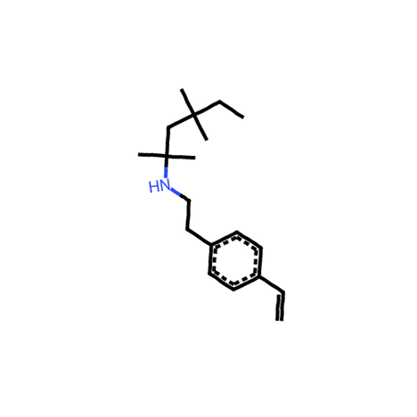 C=Cc1ccc(CCNC(C)(C)CC(C)(C)CC)cc1